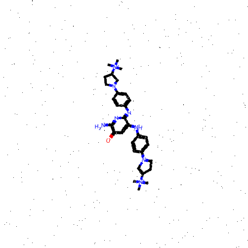 C[N+](C)(C)C1CCN(c2ccc(N=C3N=C(N)C(=O)C=C3Nc3ccc(N4CCC([N+](C)(C)C)C4)cc3)cc2)C1